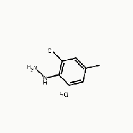 Cc1ccc(NN)c(Cl)c1.Cl